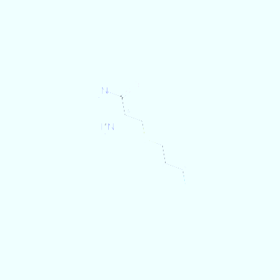 NC(=O)[C@@H](N)CSCCCF